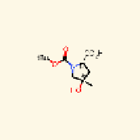 CC(C)(C)OC(=O)N1C[C@@](C)(O)C[C@H]1C(=O)O